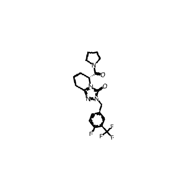 O=C([C@H]1CCCc2nn(Cc3ccc(F)c(C(F)(F)F)c3)c(=O)n21)N1CCCC1